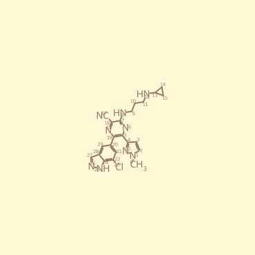 Cn1ccc(-c2nc(NCCCNC3CC3)c(C#N)nc2-c2cc(Cl)c3[nH]ncc3c2)n1